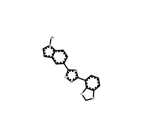 CC(C)n1ccc2cc(-c3nc(-c4cccc5c4OCO5)no3)ccc21